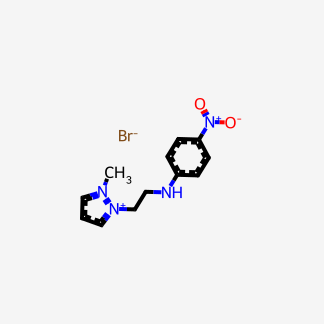 Cn1ccc[n+]1CCNc1ccc([N+](=O)[O-])cc1.[Br-]